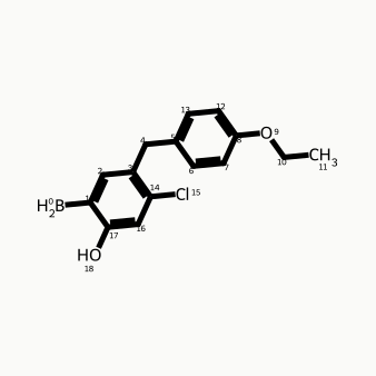 Bc1cc(Cc2ccc(OCC)cc2)c(Cl)cc1O